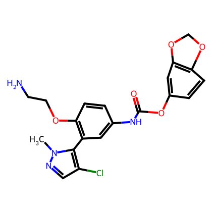 Cn1ncc(Cl)c1-c1cc(NC(=O)Oc2ccc3c(c2)OCO3)ccc1OCCN